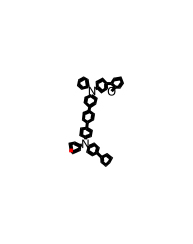 C1=CC2Oc3cc(N(c4ccccc4)c4ccc(C5=CCC(c6ccc(N(c7ccccc7)c7ccc(C8=CCCC=C8)cc7)cc6)C=C5)cc4)ccc3C2C=C1